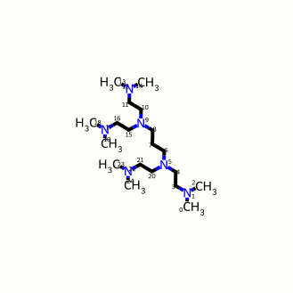 CN(C)CCN(CCCN(CCN(C)C)CCN(C)C)CCN(C)C